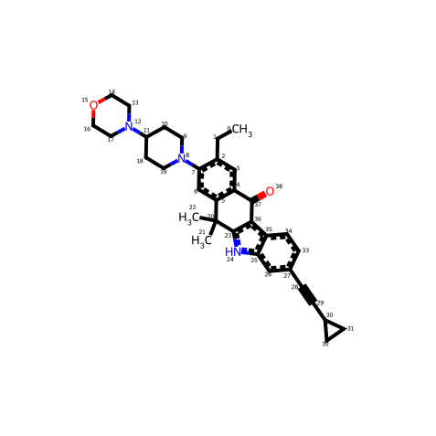 CCc1cc2c(cc1N1CCC(N3CCOCC3)CC1)C(C)(C)c1[nH]c3cc(C#CC4CC4)ccc3c1C2=O